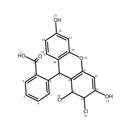 O=C(O)c1ccccc1C1C2=C(C=C(O)C(Cl)C2Cl)Oc2cc(O)ccc21